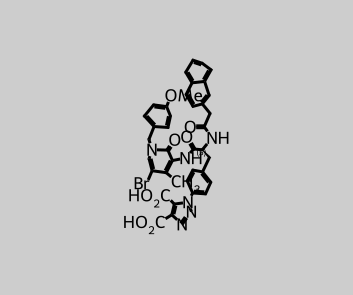 COc1ccc(Cn2cc(Br)c(C)c(NC(=O)[C@H](Cc3ccc(-n4nnc(C(=O)O)c4C(=O)O)cc3)NC(=O)Cc3ccc4ccccc4c3)c2=O)cc1